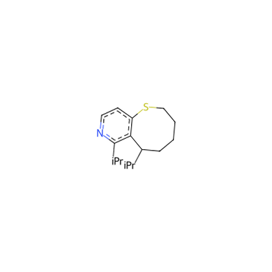 CC(C)c1nccc2c1C(C(C)C)CCCCS2